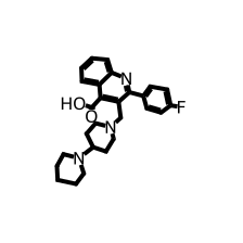 O=C(O)c1c(CN2CCC(N3CCCCC3)CC2)c(-c2ccc(F)cc2)nc2ccccc12